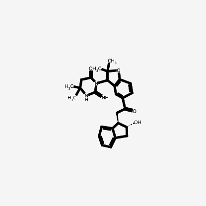 CC1(C)CC(=O)N(C2c3cc(C(=O)C[C@@H]4c5ccccc5C[C@H]4O)ccc3OC2(C)C)C(=N)N1